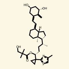 C=C1/C(=C\C=C2/CCC[C@]3(C)[C@@H]([C@H](C)CC[C@@H](OC(=O)C(C)(C)CO)C4(c5nc(C)cs5)CC4)CC[C@@H]23)C[C@@H](O)C[C@@H]1O